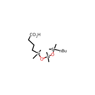 CCCC[Si](C)(C)O[Si](C)(C)O[Si](C)(C)CCCC(=O)O